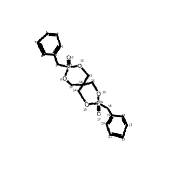 O=P1(Cc2ccccc2)OCC2(CO1)COP(=O)(Cc1ccccc1)OC2